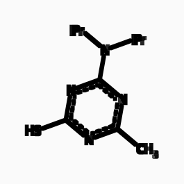 Cc1nc(S)nc(N(C(C)C)C(C)C)n1